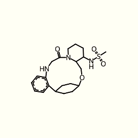 CS(=O)(=O)NC1CCCN2C(=O)CNc3ccccc3C3CCC(CC3)OCC12